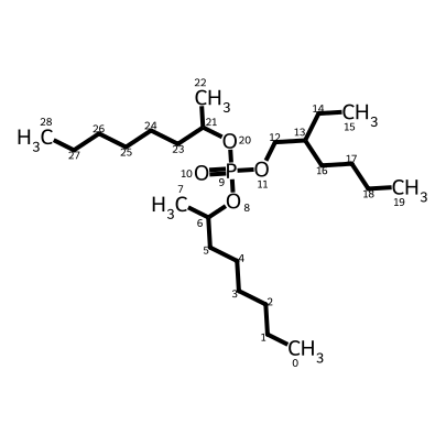 CCCCCCC(C)OP(=O)(OCC(CC)CCCC)OC(C)CCCCCC